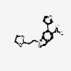 O=[N+]([O-])c1cc2cnn(CCC3OCCO3)c2cc1-c1ccoc1